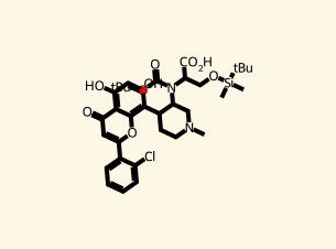 CN1CCC(c2c(O)cc(O)c3c(=O)cc(-c4ccccc4Cl)oc23)C(N(C(=O)OC(C)(C)C)C(CO[Si](C)(C)C(C)(C)C)C(=O)O)C1